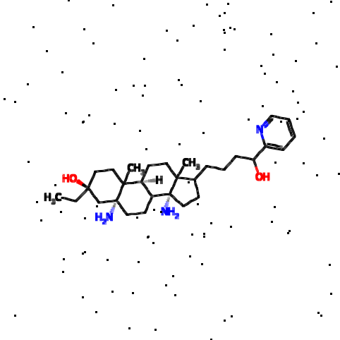 CC[C@]1(O)CCC2(C)[C@H]3CCC4(C)C(CCCC(O)c5ccccn5)CC[C@@]4(N)C3CC[C@@]2(N)C1